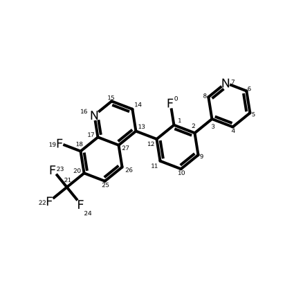 Fc1c(-c2cccnc2)cccc1-c1ccnc2c(F)c(C(F)(F)F)ccc12